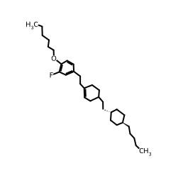 CCCCCCOc1ccc(CCC2=CCC(CC[C@H]3CC[C@H](CCCCC)CC3)CC2)cc1F